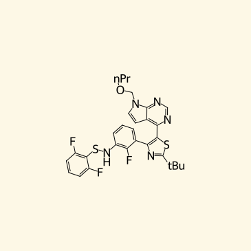 CCCOCn1ccc2c(-c3sc(C(C)(C)C)nc3-c3cccc(NSc4c(F)cccc4F)c3F)ncnc21